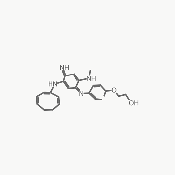 C/C=C(\C=C/C(C)OCCO)/N=C1/C=C(N/C2=C/C=C\CCC=C2)C(=N)C=C1NC